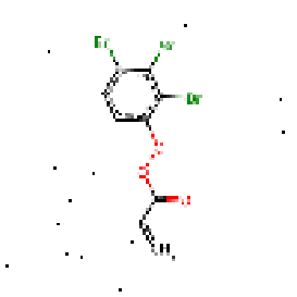 C=CC(=O)OOc1ccc(Br)c(Br)c1Br